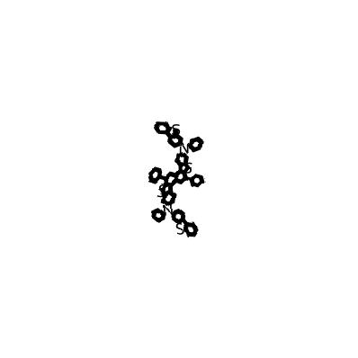 c1ccc(-c2cc3c(cc(-c4ccccc4)c4sc5cc(N(c6ccccc6)c6ccc7c(c6)sc6ccccc67)ccc5c43)c3c2sc2cc(N(c4ccccc4)c4ccc5c(c4)sc4ccccc45)ccc23)cc1